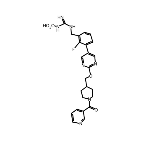 N=C(NCc1cccc(-c2cnc(OCC3CCN(C(=O)c4cccnc4)CC3)nc2)c1F)NC(=O)O